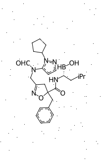 CC(C)C[C@@H](BO)NC(=O)C1(Cc2ccccc2)CC(CN(C=O)c2ccnn2C2CCCC2)=NO1